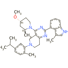 CO[C@@H]1CCN(c2nc(-c3cccc4[nH]cc(C)c34)nc3c2CN(c2cc(C(C)C)ccc2C)CC3)[C@@H](C)C1